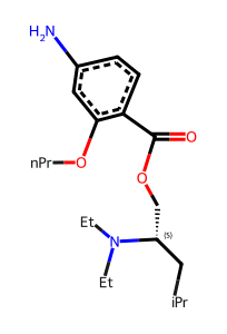 CCCOc1cc(N)ccc1C(=O)OC[C@H](CC(C)C)N(CC)CC